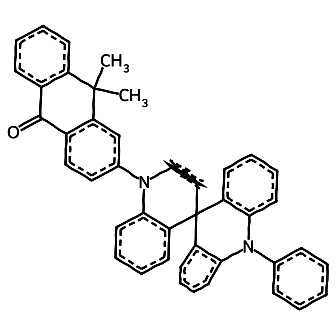 CC1(C)c2ccccc2C(=O)c2ccc(N3c4ccccc4C4(c5ccccc5N(c5ccccc5)c5ccccc54)c4ccccc43)cc21